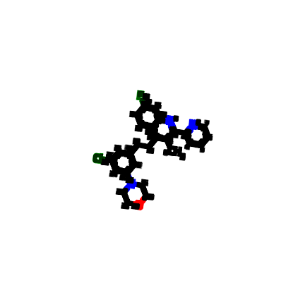 Cc1c(-c2ccccn2)nc2cc(F)ccc2c1CCc1cc(Cl)cc(N2CCOCC2)c1